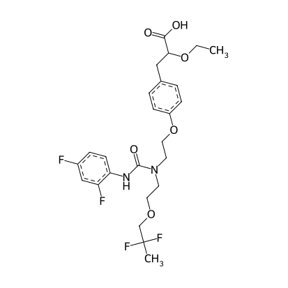 CCOC(Cc1ccc(OCCN(CCOCC(C)(F)F)C(=O)Nc2ccc(F)cc2F)cc1)C(=O)O